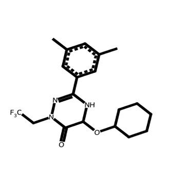 Cc1cc(C)cc(C2=NN(CC(F)(F)F)C(=O)C(OC3CCCCC3)N2)c1